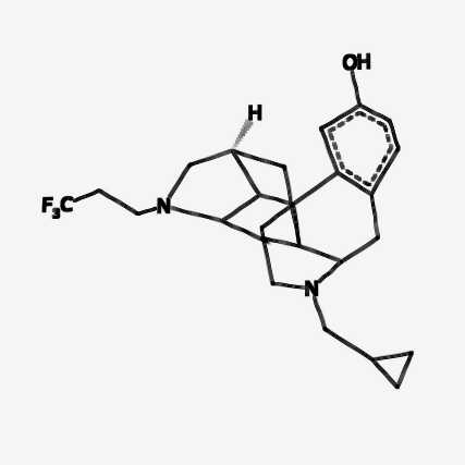 Oc1ccc2c(c1)C13CCN(CC4CC4)C(C2)C12CCC1C3[C@@H](CN1CCC(F)(F)F)C2